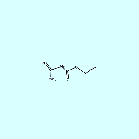 CC(C)COC(=O)NC(=N)N